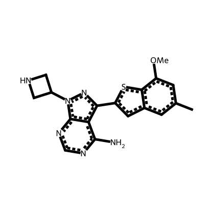 COc1cc(C)cc2cc(-c3nn(C4CNC4)c4ncnc(N)c34)sc12